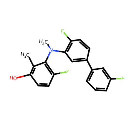 Cc1c(O)ccc(F)c1N(C)c1cc(-c2cccc(F)c2)ccc1F